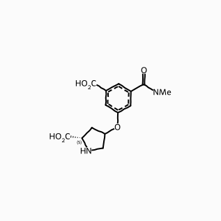 CNC(=O)c1cc(OC2CN[C@H](C(=O)O)C2)cc(C(=O)O)c1